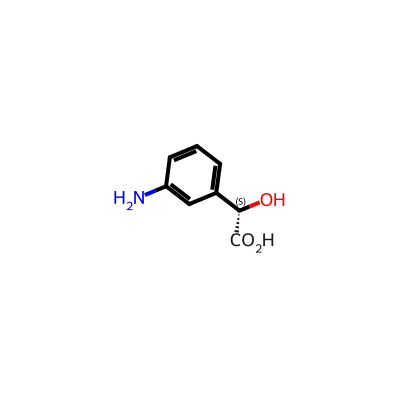 Nc1cccc([C@H](O)C(=O)O)c1